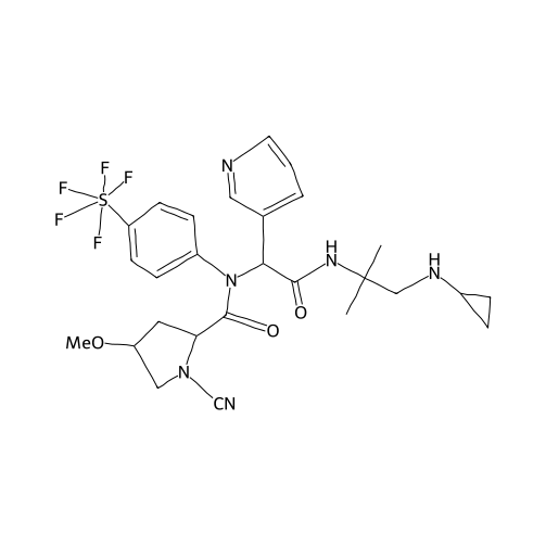 COC1CC(C(=O)N(c2ccc(S(F)(F)(F)(F)F)cc2)C(C(=O)NC(C)(C)CNC2CC2)c2cccnc2)N(C#N)C1